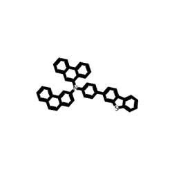 c1ccc2c(c1)ccc1ccc(N(c3ccc(-c4ccc5c(c4)sc4ccccc45)cc3)c3cc4ccccc4c4ccccc34)cc12